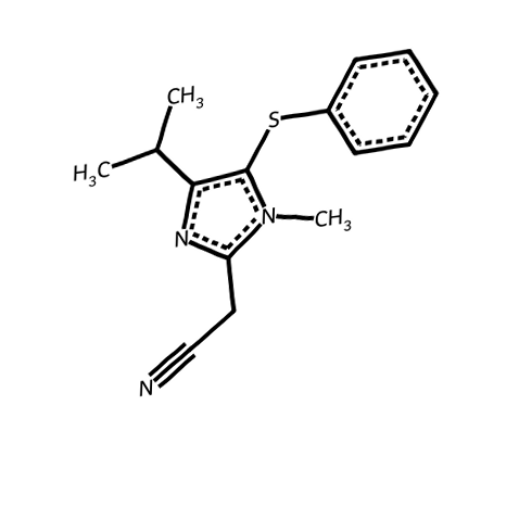 CC(C)c1nc(CC#N)n(C)c1Sc1ccccc1